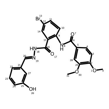 COc1ccc(C(=O)Nc2ccc(Br)cc2C(=O)N/N=C/c2cccc(O)c2)cc1OC